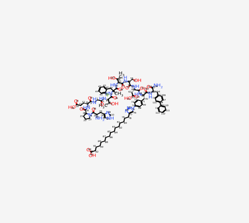 C[C@@H](O)[C@H](NC(=O)CNC(=O)[C@H](CCC(=O)O)NC(=O)[C@@H]1CCCN1C(=O)[C@@H](N)Cc1c[nH]cn1)C(=O)NC(C)(Cc1ccccc1F)C(=O)N[C@H](C(=O)N[C@@H](CO)C(=O)N[C@@H](CC(=O)O)C(=O)N[C@@H](Cc1ccc(-n2cc(CCCCCCCCCCCCCCCC(=O)O)nn2)cc1)C(=O)N[C@@H](Cc1ccc(-c2ccccc2)cc1)C(N)=O)[C@@H](C)O